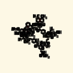 CC[C@H](C)[C@@H]([C@@H](CC(=O)N1CCC[C@H]1[C@H](OC)[C@@H](C)C(=O)N[C@H](C)[C@@H](O)c1ccccc1)OC)N(C)C(=O)[C@@H](NC(=O)C(C(C)C)N(C)C(=O)OCc1ccc(NC(=O)[C@H](CCCNC(N)=O)NC(=O)C(NC(=O)CC[C@H](NC(=O)c2ccc(C(=O)C(CS(=O)(=O)c3ccc(C)cc3)CS(=O)(=O)c3ccc(C)cc3)cc2)C(=O)NC(C)(C)CCO)C(C)C)cc1)C(C)C